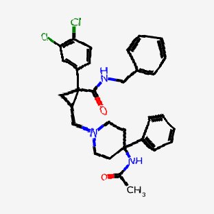 CC(=O)NC1(c2ccccc2)CCN(CC2CC2(C(=O)NCc2ccccc2)c2ccc(Cl)c(Cl)c2)CC1